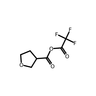 O=C(OC(=O)C(F)(F)F)C1CCOC1